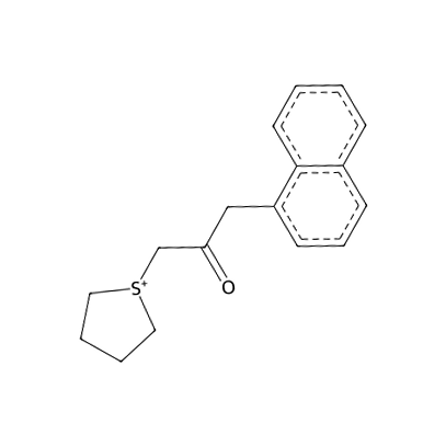 O=C(Cc1cccc2ccccc12)C[S+]1CCCC1